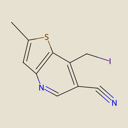 Cc1cc2ncc(C#N)c(CI)c2s1